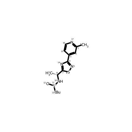 Cc1cc(-c2nsc([C@@H](C)N[S+]([O-])C(C)(C)C)n2)ccn1